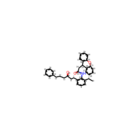 CCc1cccc(CCC(=O)CCCc2ccccc2)c1NC(=O)CC1c2ccccc2Oc2ccccc21